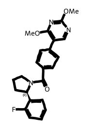 COc1ncc(-c2ccc(C(=O)N3CCC[C@@H]3c3ccccc3F)cc2)c(OC)n1